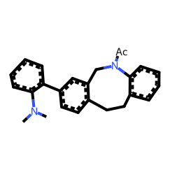 CC(=O)N1Cc2cc(-c3ccccc3N(C)C)ccc2CCc2ccccc21